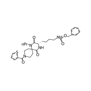 CCCN1C(=O)[C@H](CCCCNC(=O)OCc2ccccc2)NC(=O)C12CCN(C(=O)c1cccs1)CC2